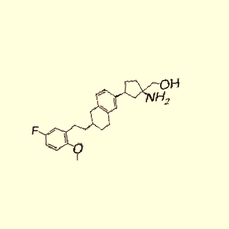 COc1ccc(F)cc1CCC1CCc2cc([C@H]3CC[C@](N)(CO)C3)ccc2C1